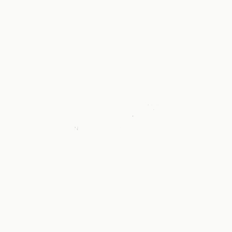 CCC(CCN(CC)CC)C(C(=O)O)(c1ccccc1)c1ccccc1